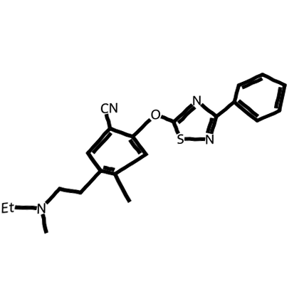 CCN(C)CCc1cc(C#N)c(Oc2nc(-c3ccccc3)ns2)cc1C